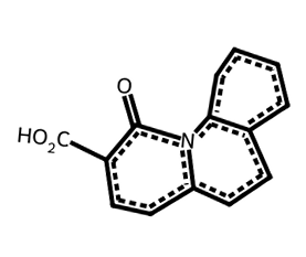 O=C(O)c1ccc2ccc3ccccc3n2c1=O